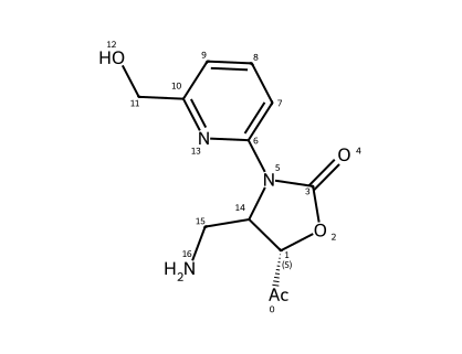 CC(=O)[C@H]1OC(=O)N(c2cccc(CO)n2)C1CN